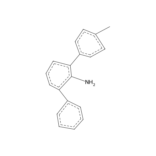 Cc1ccc(-c2cccc(-c3ccccc3)c2N)cc1